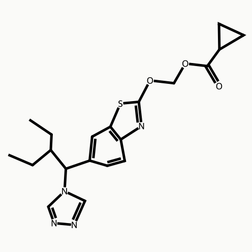 CCC(CC)C(c1ccc2nc(OCOC(=O)C3CC3)sc2c1)n1cnnc1